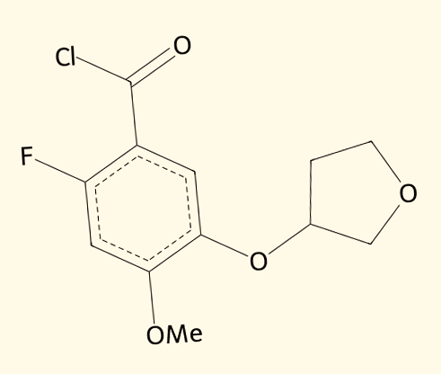 COc1cc(F)c(C(=O)Cl)cc1OC1CCOC1